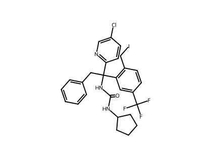 O=C(NC1CCCC1)NC(Cc1ccccc1)(c1ccc(Cl)cn1)c1cc(C(F)(F)F)ccc1CI